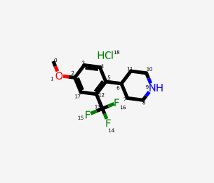 COc1ccc(C2CCNCC2)c(C(F)(F)F)c1.Cl